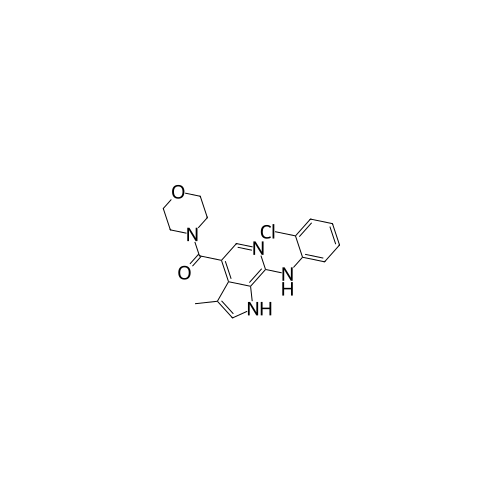 Cc1c[nH]c2c(Nc3ccccc3Cl)ncc(C(=O)N3CCOCC3)c12